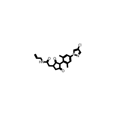 C=CCNC(=O)CC1CC(=O)C(c2c(C)cc(-n3cc(Cl)cn3)cc2C)C1=O